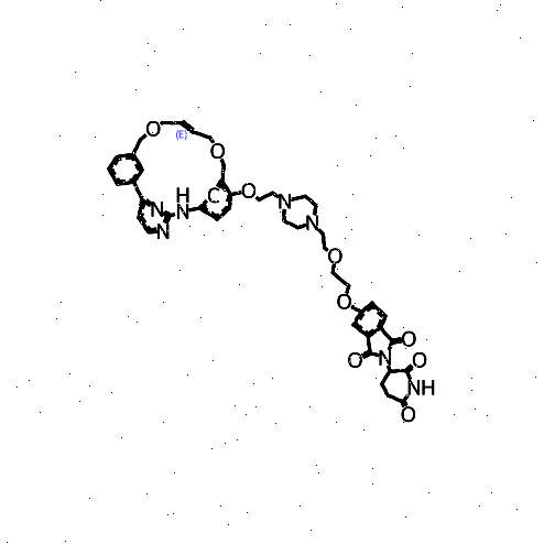 O=C1CCC(N2C(=O)c3ccc(OCCOCCN4CCN(CCOc5ccc6cc5COC/C=C/COCc5cccc(c5)-c5ccnc(n5)N6)CC4)cc3C2=O)C(=O)N1